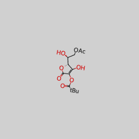 CC(=O)OC[C@H](O)[C@H]1OC(=O)C(OC(=O)C(C)(C)C)=C1O